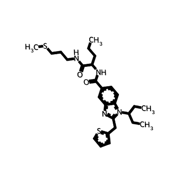 CCCC(NC(=O)c1ccc2c(c1)nc(Cc1cccs1)n2C(CC)CC)C(=O)NCCCSC